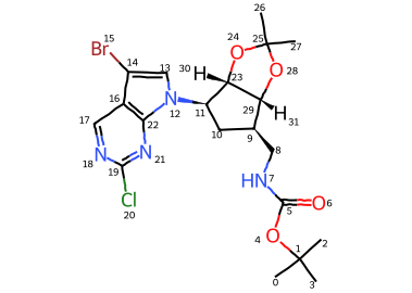 CC(C)(C)OC(=O)NC[C@H]1C[C@@H](n2cc(Br)c3cnc(Cl)nc32)[C@@H]2OC(C)(C)O[C@H]12